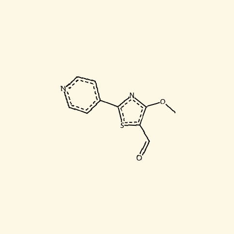 COc1nc(-c2ccncc2)sc1C=O